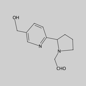 O=CCN1CCCC1c1ccc(CO)cn1